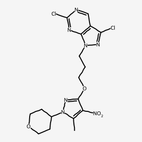 Cc1c([N+](=O)[O-])c(OCCCn2nc(Cl)c3cnc(Cl)nc32)nn1C1CCOCC1